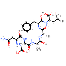 CC(C)C[C@H](NC(=O)[C@H](Cc1ccccc1)NC(=O)[C@H](C)NC(=O)[C@H](C)NC(=O)[C@H](CC(=O)O)NC(=O)[C@@H](N)CC(N)=O)C(=O)O